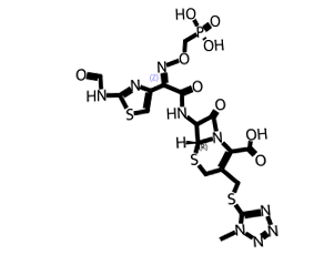 Cn1nnnc1SCC1=C(C(=O)O)N2C(=O)C(NC(=O)/C(=N\OCP(=O)(O)O)c3csc(NC=O)n3)[C@H]2SC1